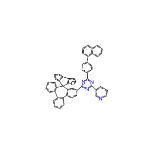 c1cncc(-c2nc(-c3ccc(-c4cccc5ccccc45)cc3)nc(-c3ccc4c(c3)C3(c5ccccc5-c5ccccc5-4)c4ccccc4-c4ccccc43)n2)c1